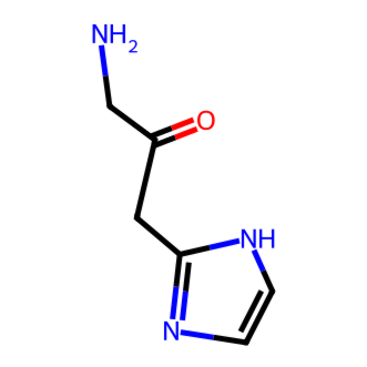 NCC(=O)Cc1ncc[nH]1